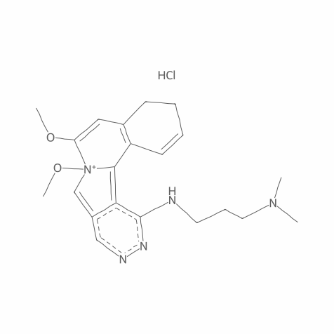 COC1=CC2=C(C=CCC2)C2=c3c(NCCCN(C)C)nncc3=C[N+]12OC.Cl